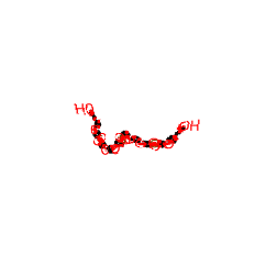 CC(C)(O)C#Cc1ccc(Oc2ccc(S(=O)(=O)c3ccc(Oc4cccc(Oc5ccccc5S(=O)(=O)c5ccc(Oc6ccc(Oc7ccc(S(=O)(=O)c8ccc(Oc9cccc(C#CC(C)(C)O)c9)cc8)cc7)cc6)cc5)c4)cc3)cc2)cc1